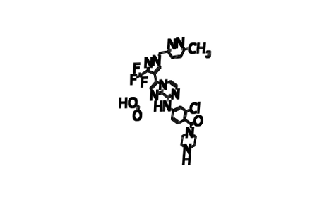 Cc1ccc(Cn2cc(-c3cnc4c(Nc5ccc(C(=O)N6CCNCC6)c(Cl)c5)nccn34)c(C(F)(F)F)n2)nn1.O=CO